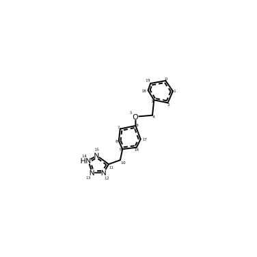 c1ccc(COc2ccc(Cc3nn[nH]n3)cc2)cc1